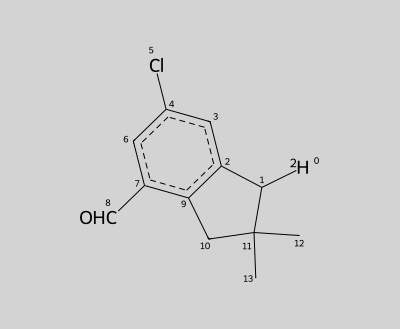 [2H]C1c2cc(Cl)cc(C=O)c2CC1(C)C